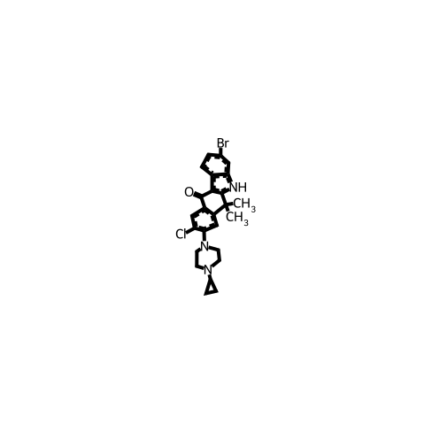 CC1(C)c2cc(N3CCN(C4CC4)CC3)c(Cl)cc2C(=O)c2c1[nH]c1cc(Br)ccc21